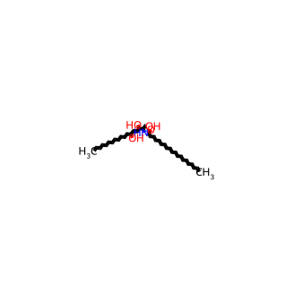 CCCCCCCCCCCCCCCCCCCC(=O)NC(CO)C(O)/C=C/C(O)CCCCCCCCCCCC